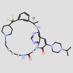 CC(C)N1CCN(c2cc3c4ncnc3n(c2=O)CC(=O)NCCCCN2CCC(CC2)C(F)(F)c2cccc(c2)[C@@H](C)N4)CC1